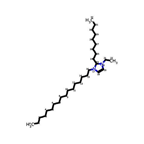 CCCCCCCCCCCCCCCCCN1C=CN(CC)C1CCCCCCCCC